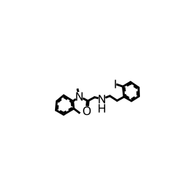 Cc1ccccc1N(C)C(=O)CNCCc1ccccc1I